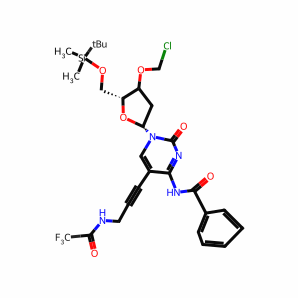 CC(C)(C)[Si](C)(C)OC[C@H]1O[C@@H](n2cc(C#CCNC(=O)C(F)(F)F)c(NC(=O)c3ccccc3)nc2=O)CC1OCCl